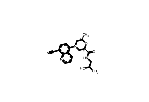 CC(O)CNC(=O)[C@H]1CN(c2ccc(C#N)c3ncccc23)C[C@@H](C)O1